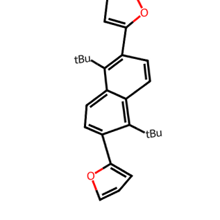 CC(C)(C)c1c(-c2ccco2)ccc2c(C(C)(C)C)c(-c3ccco3)ccc12